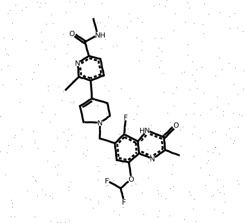 CNC(=O)c1ccc(C2=CCN(Cc3cc(OC(F)F)c4nc(C)c(=O)[nH]c4c3F)CC2)c(C)n1